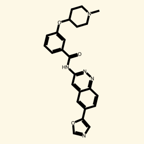 CN1CCC(Oc2cccc(C(=O)Nc3cc4cc(-c5cnco5)ccc4nn3)c2)CC1